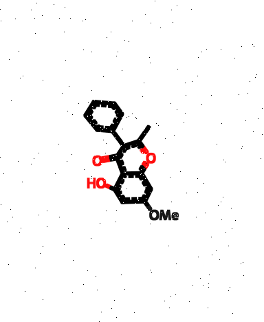 COc1cc(O)c2c(=O)c(-c3ccccc3)c(C)oc2c1